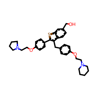 OCc1ccc2c(Cc3ccc(OCCN4CCCCC4)cc3)c(-c3ccc(OCCN4CCCC4)cc3)sc2c1